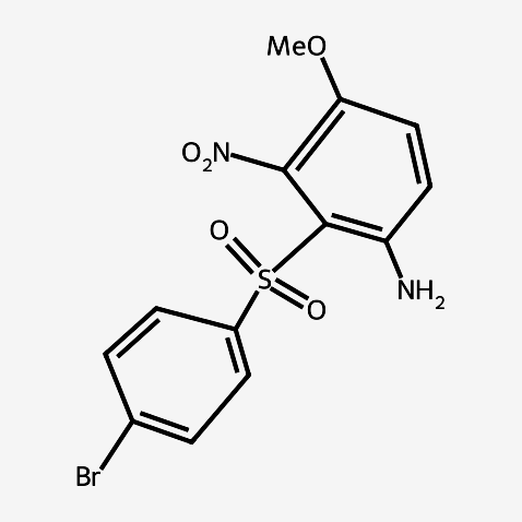 COc1ccc(N)c(S(=O)(=O)c2ccc(Br)cc2)c1[N+](=O)[O-]